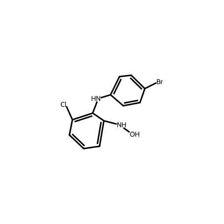 ONc1cccc(Cl)c1Nc1ccc(Br)cc1